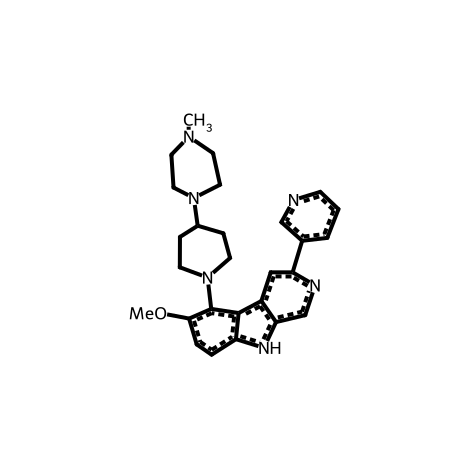 COc1ccc2[nH]c3cnc(-c4cccnc4)cc3c2c1N1CCC(N2CCN(C)CC2)CC1